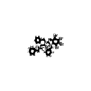 C[N+](C)(CCN(Cc1ccccc1)C1=Nc2c(Br)c(Br)c(Br)c(Br)c2[N+]1(Br)Cc1ccccc1)Cc1ccccc1